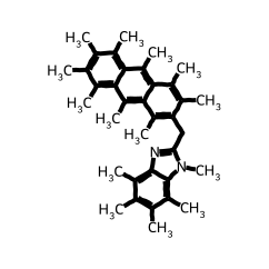 Cc1c(C)c(C)c2c(nc(Cc3c(C)c(C)c4c(C)c5c(C)c(C)c(C)c(C)c5c(C)c4c3C)n2C)c1C